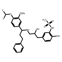 COc1cc(C(CCc2ccccc2)NCC(O)Cc2ccc(O)c(NS(C)(=O)=O)c2)ccc1OC(F)F